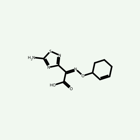 Nc1nc(C(=NOC2C=CCCC2)C(=O)O)ns1